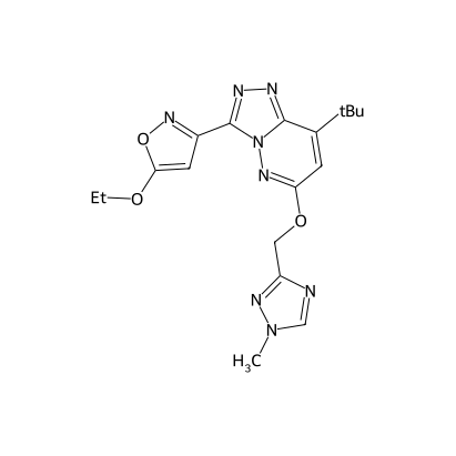 CCOc1cc(-c2nnc3c(C(C)(C)C)cc(OCc4ncn(C)n4)nn23)no1